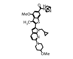 COc1cc(C(=O)N2CC3[C@@H]4C2N34)cc2sc(-c3cc4ccc(N5CCC(OC)CC5)nc4n3CC3CC3)c(C)c12